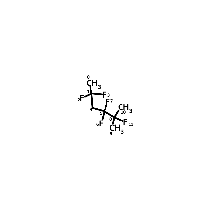 CC(F)(F)CC(F)(F)C(C)(C)F